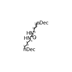 CCCCCCCCCCCCCCNC(=O)NCCCCCCCCCCCCCC